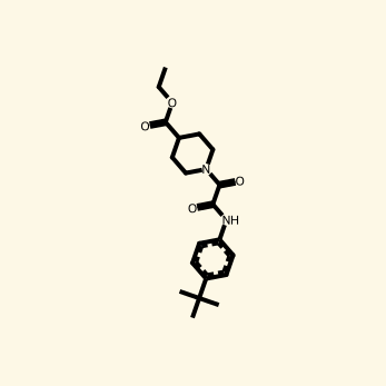 CCOC(=O)C1CCN(C(=O)C(=O)Nc2ccc(C(C)(C)C)cc2)CC1